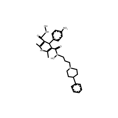 CC1=C(C(=O)NO)C(c2ccc([N+](=O)[O-])cc2)C(C(=O)N(O)CCCN2CCC(c3ccccc3)CC2)=C(C)N1